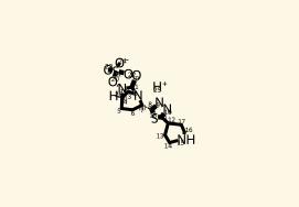 O=C1N2C[C@@H](CC[C@H]2c2nnc(C3CCNCC3)s2)N1OS(=O)(=O)[O-].[H+]